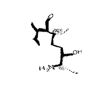 CC(C)C(=O)[C@H](C)CC(O)[C@H](C)N